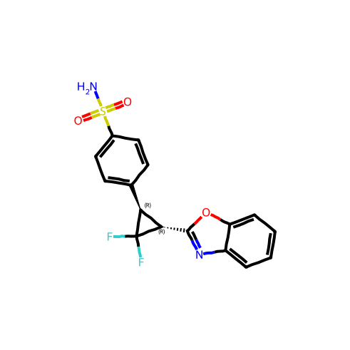 NS(=O)(=O)c1ccc([C@H]2[C@H](c3nc4ccccc4o3)C2(F)F)cc1